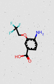 Nc1ccc(C(=O)O)cc1OCC(F)(F)F